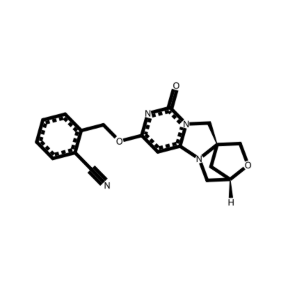 N#Cc1ccccc1COc1cc2n(c(=O)n1)C[C@]13CO[C@H](CN21)C3